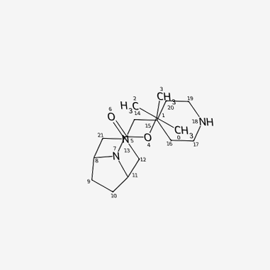 CC(C)(C)OC(=O)N1C2CCC1CN(CC1CCNCC1)C2